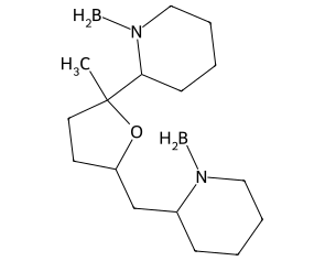 BN1CCCCC1CC1CCC(C)(C2CCCCN2B)O1